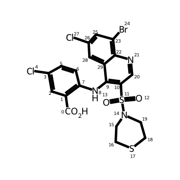 O=C(O)c1cc(Cl)ccc1Nc1c(S(=O)(=O)N2CCSCC2)cnc2c(Br)cc(Cl)cc12